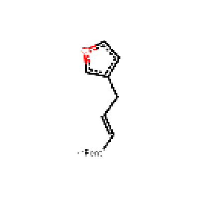 CCCC[CH]C=CCc1ccoc1